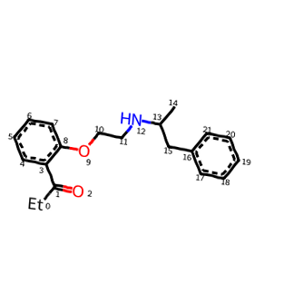 CCC(=O)c1ccccc1OCCNC(C)Cc1ccccc1